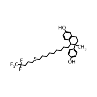 CC1(c2ccc(O)cc2)CCc2cc(O)ccc2C1CCCCCCCCCSCCCC(F)(F)C(F)(F)F